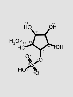 O.O=S(=O)(O)OC1C(O)C(O)C(O)C1O